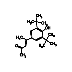 CC(=O)C=C(C)c1cc(C(C)(C)C)c(O)c(C(C)(C)C)c1